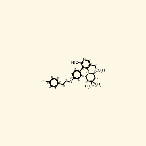 Cc1ncc(CC(=O)O)c(N2CCC(C)(C)CC2)c1-c1ccc(OCCc2ccc(F)cc2)cc1